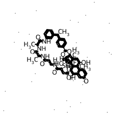 C[C@@H](c1ccc([C@@H]2O[C@@H]3CC4[C@@H]5C[C@H](F)C6=CC(=O)C=C[C@]6(C)[C@@]5(F)[C@@H](O)C[C@]4(C)[C@]3(C(=O)CO)O2)cc1)c1cccc(NC(=O)[C@H](C)NC(=O)[C@H](C)NC(=O)CCNC(=O)C(S)CC(=O)O)c1